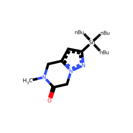 CCC[CH2][Sn]([CH2]CCC)([CH2]CCC)[c]1cc2n(n1)CC(=O)N(C)C2